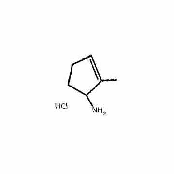 CC1=CCCC1N.Cl